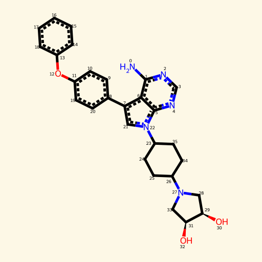 Nc1ncnc2c1c(-c1ccc(Oc3ccccc3)cc1)cn2C1CCC(N2C[C@@H](O)[C@@H](O)C2)CC1